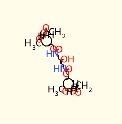 C=C1C(=O)O[C@H]2[C@H]1CC/C(COC(=O)NCCC(O)CCNC(=O)OC/C1=C/CC[C@@]3(C)O[C@H]3[C@H]3OC(=O)C(=C)[C@@H]3CC1)=C\CC[C@@]1(C)O[C@@H]21